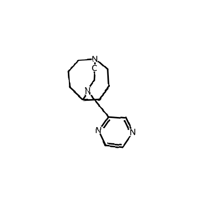 c1cnc(N2CCN3CCCC2CCC3)cn1